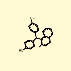 Oc1ccc(C(c2ccc(O)cc2)c2c(I)ccc3ccccc23)cc1